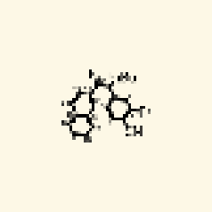 CCCCC(c1ccc(C#N)c(F)c1)C(F)c1ccc2ccccc2c1